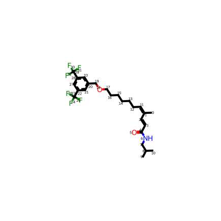 CC(C=CC(=O)NCC(C)C)=CCCCCCCOCc1cc(C(F)(F)F)cc(C(F)(F)F)c1